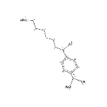 CCCCCCCCCCCCCCCCN(C(C)=O)c1ccc(C(C)OC(C)=O)cc1